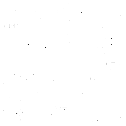 CCc1c(C=O)cc(OC)c(O)c1C=O